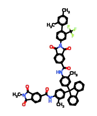 Cc1ccc(-c2ccc(N3C(=O)c4ccc(C(=O)Nc5ccc(C6(c7ccc(NC(=O)c8ccc9c(c8)C(=O)N(C)C9=O)c(C)c7)c7ccccc7-c7ccccc76)cc5C)cc4C3=O)cc2C(F)(F)F)c(C)c1